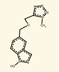 Cn1nnnc1COCc1ccc2c(cnn2O)c1